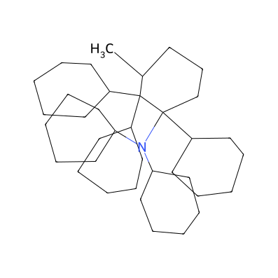 CC1CCCC(C2CCCCC2)(N(C2CCCCC2)C2CCCCC2)C1(C1CCCCC1)C1CCCCC1